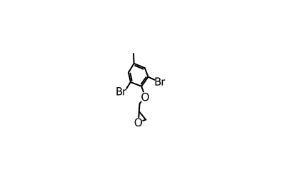 Cc1cc(Br)c(OCC2CO2)c(Br)c1